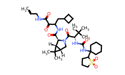 C=CCNC(=O)C(=O)C(CC1CCC1)NC(=O)[C@@H]1[C@@H]2[C@H](CN1C(=O)[C@@H](NC(=O)NC1(C3CCCS3(=O)=O)CCCCC1)C(C)(C)C)C2(C)C